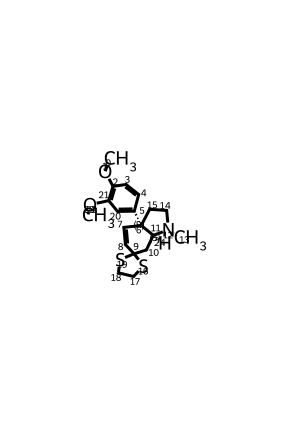 COc1ccc([C@@]23C=CC4(C[C@@H]2N(C)CC3)SCCS4)cc1OC